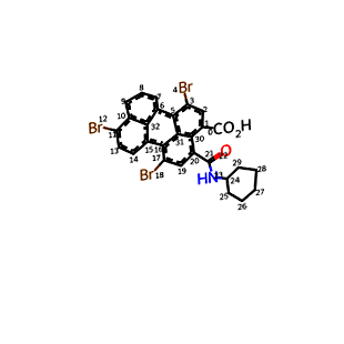 O=C(O)c1cc(Br)c2c3cccc4c(Br)ccc(c5c(Br)cc(C(=O)NC6CCCCC6)c1c25)c43